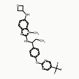 CCC(Nc1nc2ccc(NC3COC3)cc2n1C)c1ccc(Oc2ncc(C(F)(F)F)cn2)cc1